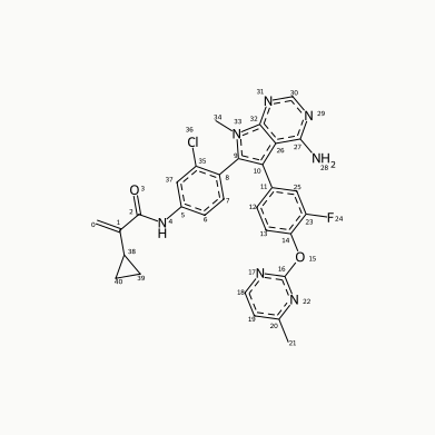 C=C(C(=O)Nc1ccc(-c2c(-c3ccc(Oc4nccc(C)n4)c(F)c3)c3c(N)ncnc3n2C)c(Cl)c1)C1CC1